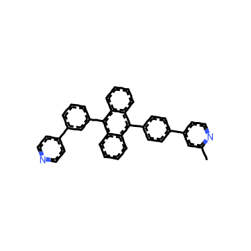 Cc1cc(-c2ccc(-c3c4ccccc4c(-c4cccc(-c5ccncc5)c4)c4ccccc34)cc2)ccn1